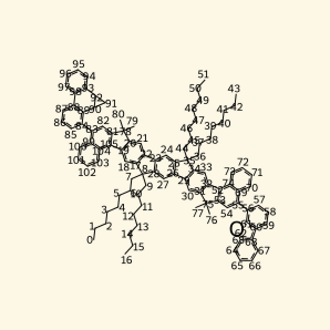 CCCCCCCCC1(CCCCCCCC)c2cc3c(cc2-c2cc4c(cc21)-c1cc2c(cc1C4(CCCCCCCC)CCCCCCCC)-c1c(cc(-c4cccc5c4oc4ccccc45)c4ccccc14)C2(C)C)C(C)(C)c1cc(-c2cccc4c2C2CC2c2ccccc2-4)c2ccccc2c1-3